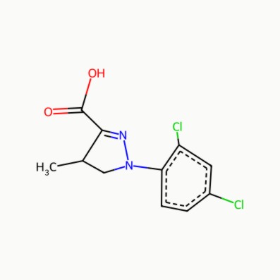 CC1CN(c2ccc(Cl)cc2Cl)N=C1C(=O)O